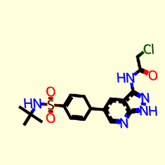 CC(C)(C)NS(=O)(=O)C1=CCC(c2cnc3[nH]nc(NC(=O)CCl)c3c2)C=C1